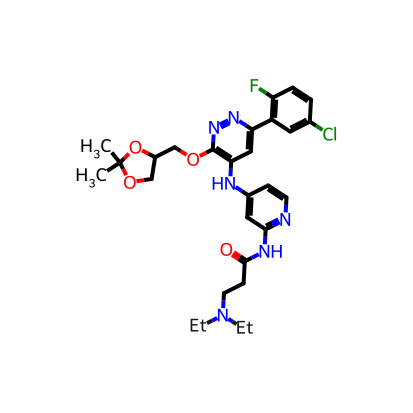 CCN(CC)CCC(=O)Nc1cc(Nc2cc(-c3cc(Cl)ccc3F)nnc2OCC2COC(C)(C)O2)ccn1